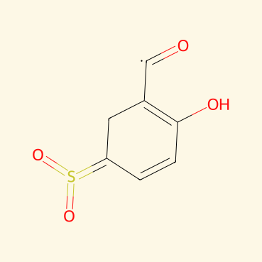 O=[C]C1=C(O)C=CC(=S(=O)=O)C1